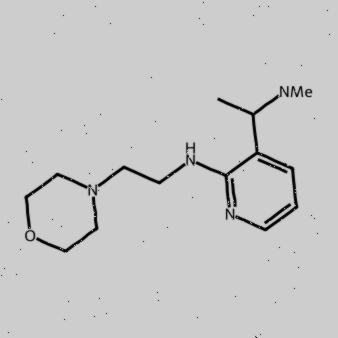 CNC(C)c1cccnc1NCCN1CCOCC1